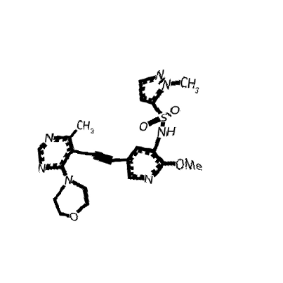 COc1ncc(C#Cc2c(C)ncnc2N2CCOCC2)cc1NS(=O)(=O)c1ccnn1C